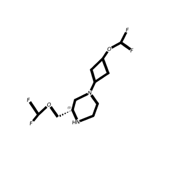 FC(F)OC[C@@H]1CN(C2CC(OC(F)F)C2)CCN1